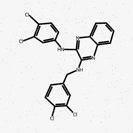 Clc1ccc(CNc2nc3ccccc3nc2Nc2ccc(Cl)c(Cl)c2)cc1Cl